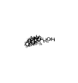 CC(CO)CCC1O[C@H]2C[C@H]3[C@@H]4CCC5CCCC[C@]5(C)[C@H]4CC[C@]3(C)[C@H]2[C@@H]1C